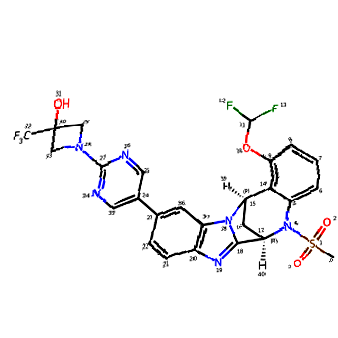 CS(=O)(=O)N1c2cccc(OC(F)F)c2[C@H]2C[C@@H]1c1nc3ccc(-c4cnc(N5CC(O)(C(F)(F)F)C5)nc4)cc3n12